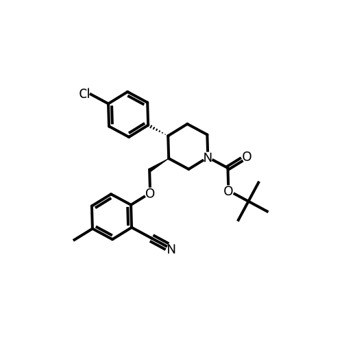 Cc1ccc(OC[C@@H]2CN(C(=O)OC(C)(C)C)CC[C@H]2c2ccc(Cl)cc2)c(C#N)c1